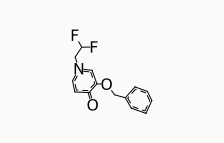 O=c1ccn(CC(F)F)cc1OCc1ccccc1